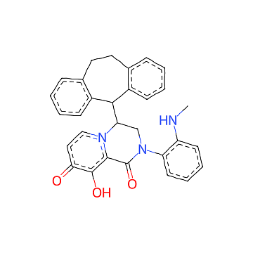 CNc1ccccc1N1CC(C2c3ccccc3CCc3ccccc32)n2ccc(=O)c(O)c2C1=O